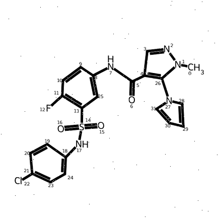 Cn1ncc(C(=O)Nc2ccc(F)c(S(=O)(=O)Nc3ccc(Cl)cc3)c2)c1-n1cccc1